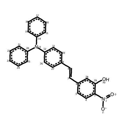 O=[N+]([O-])c1ccc(C=Cc2ccc(N(c3ccccc3)c3ccccc3)cc2)cc1O